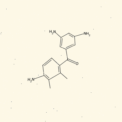 Cc1c(N)ccc(C(=O)c2cc(N)cc(N)c2)c1C